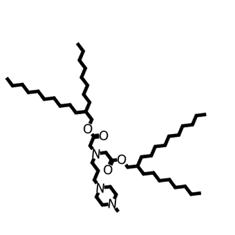 CCCCCCCCCCC(CCCCCCCC)COC(=O)CN(CCCN1CCN(C)CC1)CC(=O)OCC(CCCCCCCC)CCCCCCCCCC